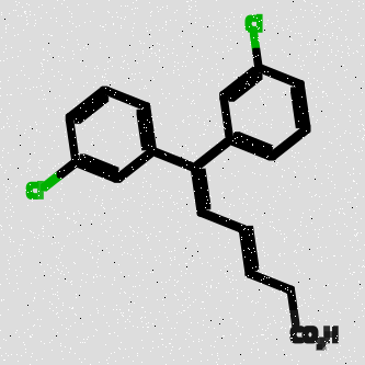 O=C(O)C/C=C/C=C(c1cccc(Cl)c1)c1cccc(Cl)c1